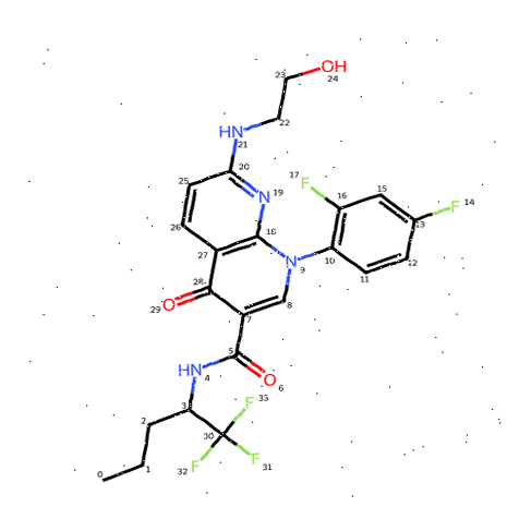 CCCC(NC(=O)c1cn(-c2ccc(F)cc2F)c2nc(NCCO)ccc2c1=O)C(F)(F)F